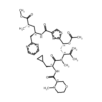 C=C(C)[C@@H](C[C@@H](OC(C)=O)c1nc(C(=O)N[C@@H](Cc2ncccn2)C[C@H](C)C(=O)OC)cs1)N(C)C(=O)[C@H](CC1CC1)NC(=O)[C@H]1COCCN1C